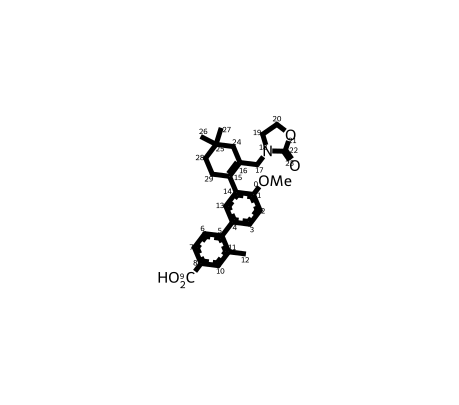 COc1ccc(-c2ccc(C(=O)O)cc2C)cc1C1=C(CN2CCOC2=O)CC(C)(C)CC1